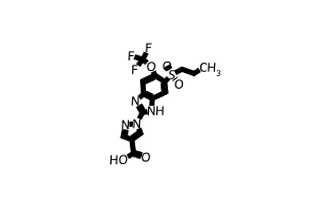 CCCS(=O)(=O)c1cc2[nH]c(-n3cc(C(=O)O)cn3)nc2cc1OC(F)(F)F